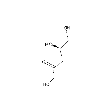 O=C(CO)C[C@@H](O)CO